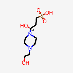 O=S(=O)(O)CC[C@H](O)N1CCN(CCO)CC1